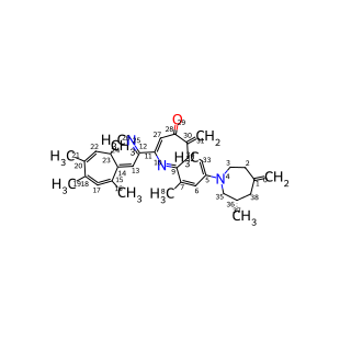 C=C1CCN(C(/C=C(/C)C2=NC(C(/C=C3/C(C)=C=C(C)C(C)=CC3C)=N/C)=CC(=O)C(=C)C2)=C/C)C[C@@H](C)C1